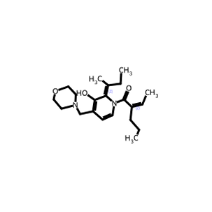 C/C=C(/CCC)C(=O)N1C=CC(CN2CCOCC2)=C(O)/C1=C(\C)CC